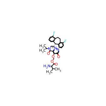 CC(C)[C@H](N)C(=O)OCOc1c2n(ncc1=O)[C@@H](C1c3cccc(F)c3CCc3c(F)cccc31)CN(C(C)C)C2=O